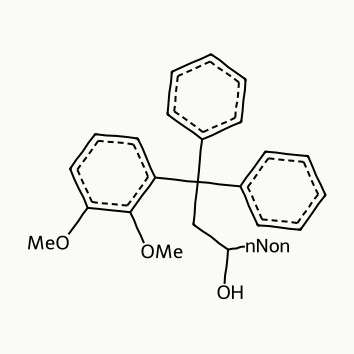 CCCCCCCCCC(O)CC(c1ccccc1)(c1ccccc1)c1cccc(OC)c1OC